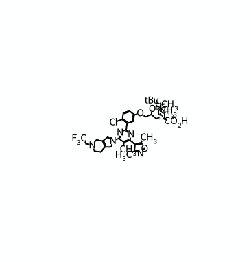 Cc1noc(C)c1-c1nc(-c2cc(OCC(CN(C)C(=O)O)O[Si](C)(C)C(C)(C)C)ccc2Cl)nc(N2CC3=C(CN(CC(F)(F)F)CC3)C2)c1C